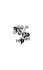 Cc1cc(Nc2nc(N3CCN(C(=O)C4(NC(=O)O)CCC4)CC3)nn3cccc23)n[nH]1